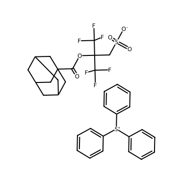 O=C(OC(CS(=O)(=O)[O-])(C(F)(F)F)C(F)(F)F)C12CC3CC(CC(C3)C1)C2.c1ccc([S+](c2ccccc2)c2ccccc2)cc1